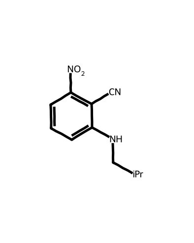 CC(C)CNc1cccc([N+](=O)[O-])c1C#N